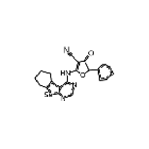 N#CC1=C(Nc2ncnc3[se]c4c(c23)CCCC4)OC(c2ccccc2)C1=O